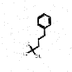 CC(C)(C)CCCc1cc[c]cc1